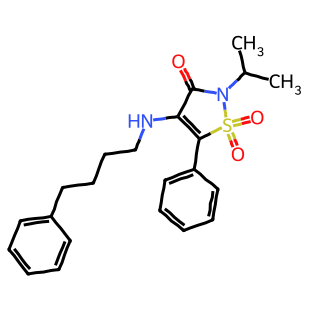 CC(C)N1C(=O)C(NCCCCc2ccccc2)=C(c2ccccc2)S1(=O)=O